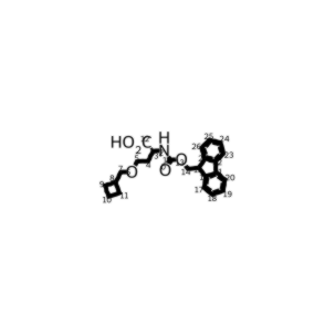 O=C(N[C@@H](CCOCC1CCC1)C(=O)O)OCC1c2ccccc2-c2ccccc21